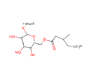 CCC[C@@H](C)OC1OC(COC(=O)CC(C)CC(=O)O)C(O)C(O)C1O